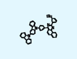 CC(C)(C)c1cccc(-c2nc(-c3ccc(-n4c5ccccc5c5cc(-n6c7ccccc7c7ccccc76)ccc54)cc3)c3ccc4ccccc4c3n2)c1